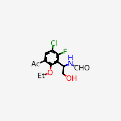 CCOc1c(C(C)=O)cc(Cl)c(F)c1C(CO)NC=O